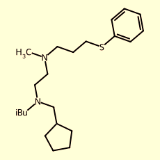 CCC(C)N(CCN(C)CCCSc1ccccc1)CC1CCCC1